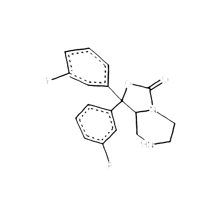 O=C1OC(c2cccc(F)c2)(c2cccc(F)c2)C2CNCCN12